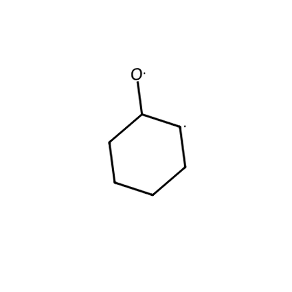 [O]C1[CH]CCCC1